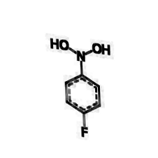 ON(O)c1ccc(F)cc1